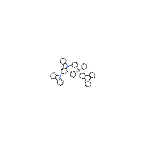 c1ccc([Si](c2ccccc2)(c2cccc(-n3c4ccccc4c4cc(-n5c6ccccc6c6ccccc65)ccc43)c2)c2ccc3c4ccccc4c4ccccc4c3c2)cc1